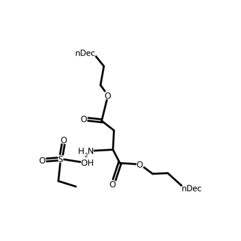 CCCCCCCCCCCCOC(=O)CC(N)C(=O)OCCCCCCCCCCCC.CCS(=O)(=O)O